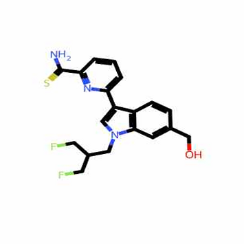 NC(=S)c1cccc(-c2cn(CC(CF)CF)c3cc(CO)ccc23)n1